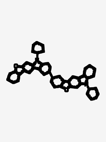 c1ccc(-n2c3ccccc3c3cc4c(cc32)oc2ccc(-c3ccc5c(c3)c3cc6c(cc3n5-c3ccccc3)oc3ccccc36)cc24)cc1